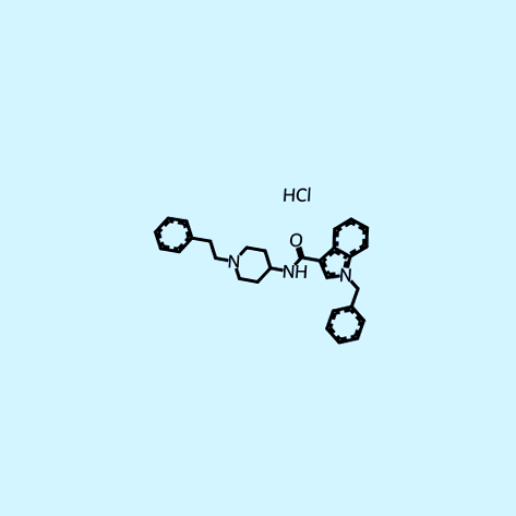 Cl.O=C(NC1CCN(CCc2ccccc2)CC1)c1cn(Cc2ccccc2)c2ccccc12